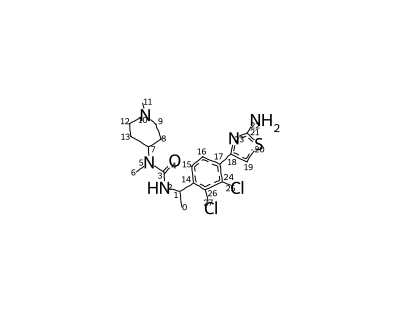 CC(NC(=O)N(C)C1CCN(C)CC1)c1ccc(-c2csc(N)n2)c(Cl)c1Cl